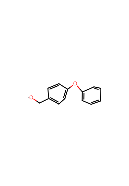 [O]Cc1ccc(Oc2ccccc2)cc1